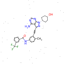 Cc1ccc(NC(=O)c2cccc(C(F)(F)F)c2)cc1C#Cc1nn([C@H]2CC[C@@H](O)CC2)c2ncnc(N)c12